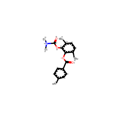 CCCc1ccc(C(=O)Oc2c(C(C)(C)C)ccc(C(C)(C)C)c2OC(=O)N(CC)CC)cc1